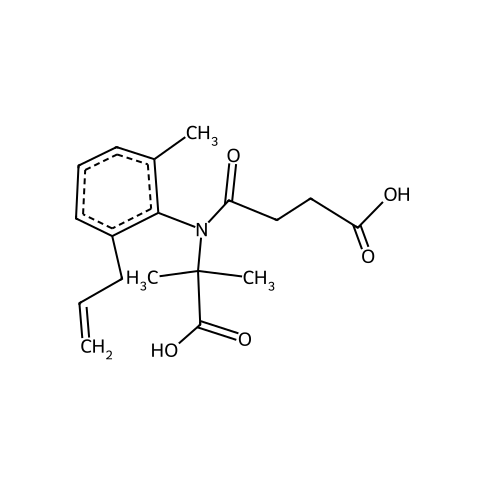 C=CCc1cccc(C)c1N(C(=O)CCC(=O)O)C(C)(C)C(=O)O